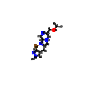 CC(C)OCc1cn2cc(Cc3cn(C)nc3Br)nc2cn1